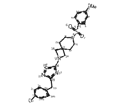 COc1ccc(S(=O)(=O)N2CCC3(CC2)CN(c2nc(Cc4ccc(Cl)cc4)ns2)C3)cc1